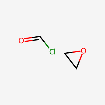 C1CO1.O=CCl